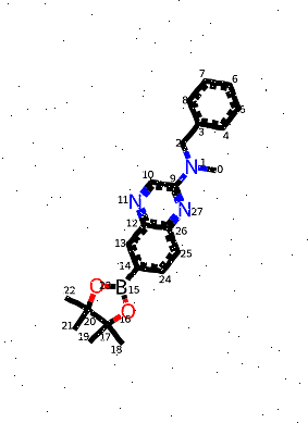 CN(Cc1ccccc1)c1cnc2cc(B3OC(C)(C)C(C)(C)O3)ccc2n1